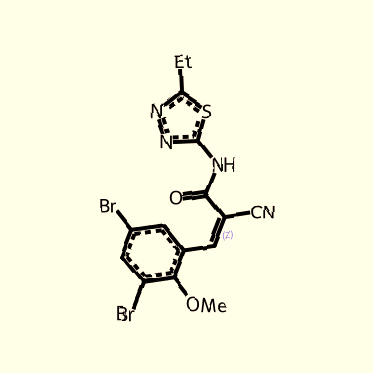 CCc1nnc(NC(=O)/C(C#N)=C\c2cc(Br)cc(Br)c2OC)s1